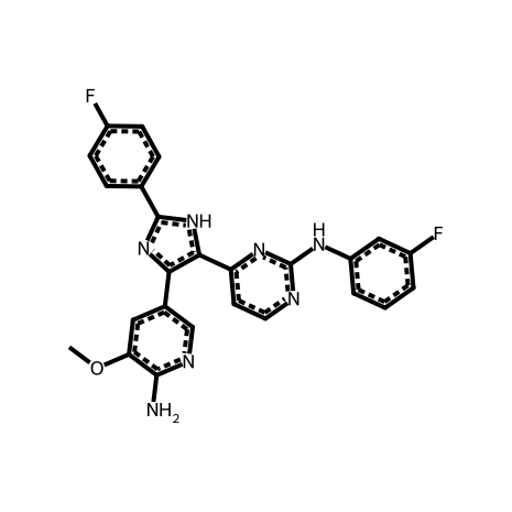 COc1cc(-c2nc(-c3ccc(F)cc3)[nH]c2-c2ccnc(Nc3cccc(F)c3)n2)cnc1N